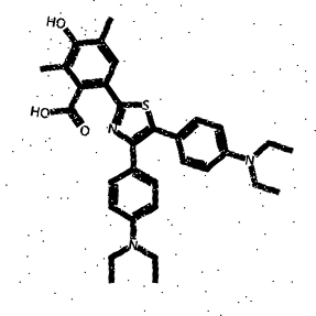 CCN(CC)c1ccc(-c2nc(-c3cc(C)c(O)c(C)c3C(=O)O)sc2-c2ccc(N(CC)CC)cc2)cc1